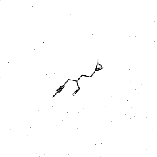 CC#CCN([C]=O)CCC1=NN1